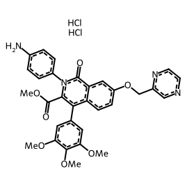 COC(=O)c1c(-c2cc(OC)c(OC)c(OC)c2)c2ccc(OCc3cnccn3)cc2c(=O)n1-c1ccc(N)cc1.Cl.Cl